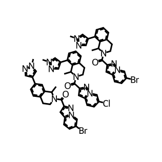 CC1c2c(cccc2-c2cnn(C)c2)CCN1C(=O)c1cc2ccc(Br)cn2n1.CC1c2c(cccc2-c2cnn(C)c2)CCN1C(=O)c1cc2ccc(Cl)cn2n1.CC1c2cc(-c3cnn(C)c3)ccc2CCN1C(=O)c1cc2ccc(Br)cn2n1